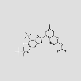 Cc1cc(-c2cc3cc(O[Si](C)(C)C(C)(C)C)c(F)c([Si](C)(C)C)c3o2)c2ncc(OC(F)F)nc2c1